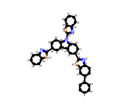 c1ccc(-c2ccc3nc(-c4ccc5c(c4)c4cc(-c6nc7ccccc7s6)ccc4n5-c4nc5ccccc5s4)sc3c2)cc1